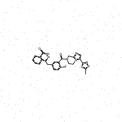 Cc1nnc(-c2cnc3n2CCN(C(=O)c2cc(Cc4n[nH]c(=O)c5ccccc45)ccc2F)C3)o1